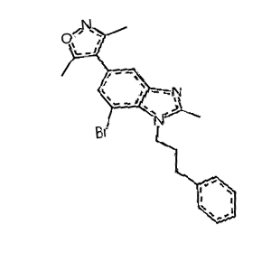 Cc1noc(C)c1-c1cc(Br)c2c(c1)nc(C)n2CCCc1ccccc1